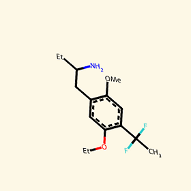 CCOc1cc(CC(N)CC)c(OC)cc1C(C)(F)F